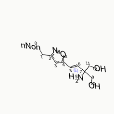 CCCCCCCCCCc1cc(/C=C/C(N)(CO)CO)on1